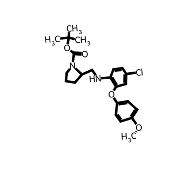 COc1ccc(Oc2cc(Cl)ccc2NCC2CCCN2C(=O)OC(C)(C)C)cc1